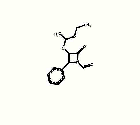 CCOC(C)OC1C(=O)N(C=O)C1c1ccccc1